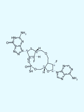 Nc1nc2c(nnn2[C@@H]2S[C@@H]3COCC4[C@@H](COP(=O)(S)O[C@@H]2[C@@H]3F)O[C@@H](n2cnc3c(N)ncnc32)[C@H]4F)c(=O)[nH]1